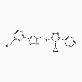 N#Cc1cccc(C2=CN(CSc3nnc(-c4ccncc4)n3C3CC3)NO2)c1